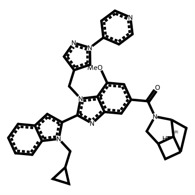 COc1cc(C(=O)N2CC3CC4CC2[C@H]43)cc2nc(-c3cc4ccccc4n3CC3CC3)n(Cc3cnn(-c4ccncc4)c3)c12